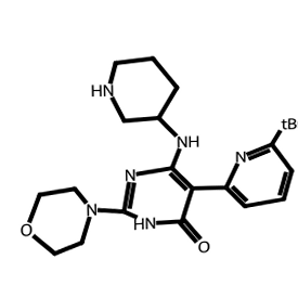 CC(C)(C)c1cccc(-c2c(NC3CCCNC3)nc(N3CCOCC3)[nH]c2=O)n1